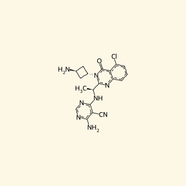 C[C@H](Nc1ncnc(N)c1C#N)c1nc2cccc(Cl)c2c(=O)n1[C@H]1C[C@H](N)C1